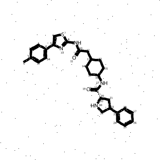 Cc1ccc(-c2csc(NC(=O)CC3CCC(NC(=O)[C@@H]4CC(c5ccccc5)CN4)CC3)n2)cc1